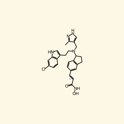 Cc1n[nH]cc1CN(CCc1c[nH]c2cc(Cl)ccc12)C1CCc2cc(/C=C/C(=O)NO)ccc21